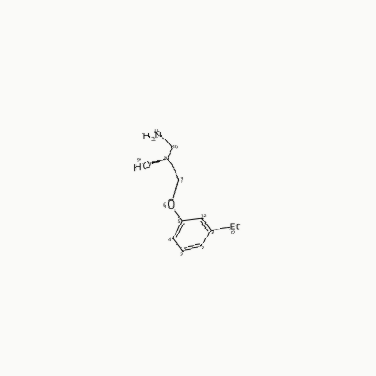 CCc1cccc(OC[C@@H](O)CN)c1